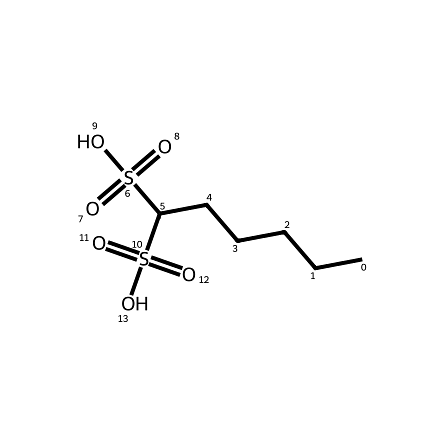 CCCCC[C](S(=O)(=O)O)S(=O)(=O)O